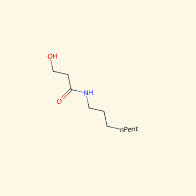 CCCCCCCCNC(=O)CCO